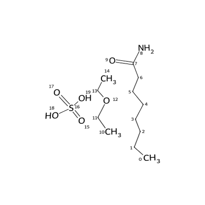 CCCCCCCC(N)=O.CCOCC.O=S(=O)(O)O